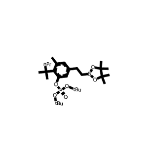 CCCC(C)(C)c1c(C)cc(CCB2OC(C)(C)C(C)(C)O2)cc1OP(=O)(OC(C)(C)C)OC(C)(C)C